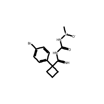 C[S+]([O-])NC(=O)NC(=N)C1(c2ccc(Br)cc2)CCC1